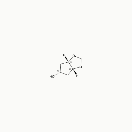 O[C@@H]1C[C@@H]2OCO[C@@H]2C1